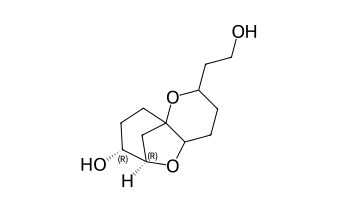 OCCC1CCC2O[C@@H]3CC2(CC[C@H]3O)O1